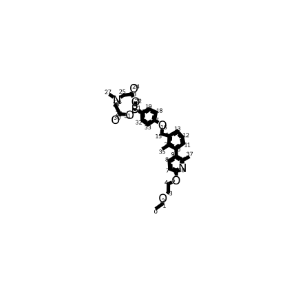 CCOCCOc1ccc(-c2cccc(COc3ccc(B4OC(=O)CN(C)CC(=O)O4)cc3)c2C)c(C)n1